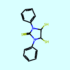 S=C1N(c2ccccc2)C(S)C(S)N1c1ccccc1